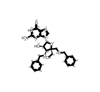 Nc1nc2c(ncn2[C@@H]2O[C@](CCl)(COCc3ccccc3)[C@@H](OCc3ccccc3)[C@H]2O)c(=O)[nH]1